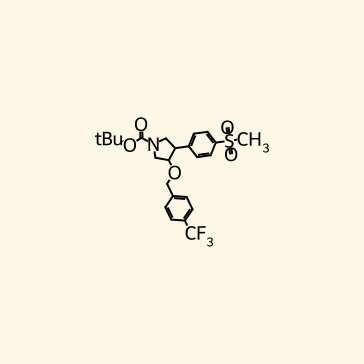 CC(C)(C)OC(=O)N1CC(OCc2ccc(C(F)(F)F)cc2)C(c2ccc(S(C)(=O)=O)cc2)C1